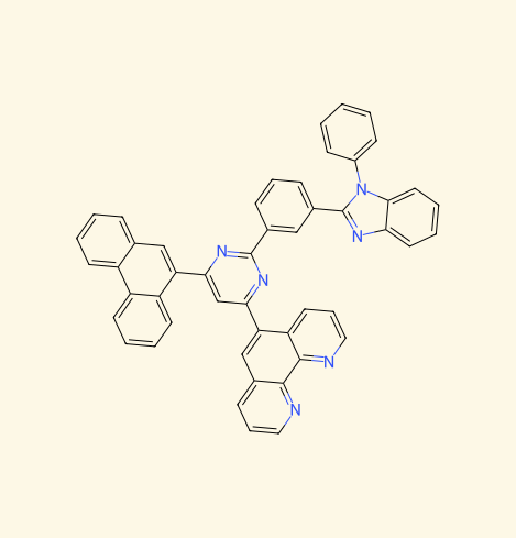 c1ccc(-n2c(-c3cccc(-c4nc(-c5cc6ccccc6c6ccccc56)cc(-c5cc6cccnc6c6ncccc56)n4)c3)nc3ccccc32)cc1